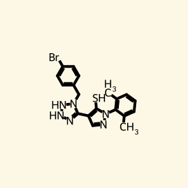 Cc1cccc(C)c1-n1ncc(C2=NNNN2Cc2ccc(Br)cc2)c1S